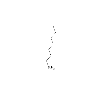 CCCCCC[CH2][SbH2]